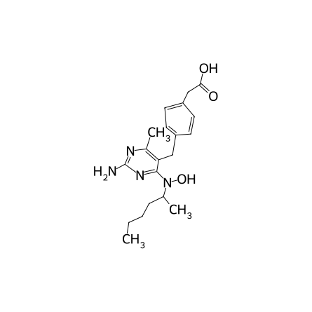 CCCCC(C)N(O)c1nc(N)nc(C)c1Cc1ccc(CC(=O)O)cc1